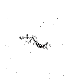 C=C(CSSCC(=O)O[C@H]1CC[C@@]2(C)C(=CC[C@H]3[C@@H]4CC[C@H]([C@H](C)CCCC(C)C)[C@@]4(C)CC[C@@H]32)C1)N(CCCN)CCCCNCCCN